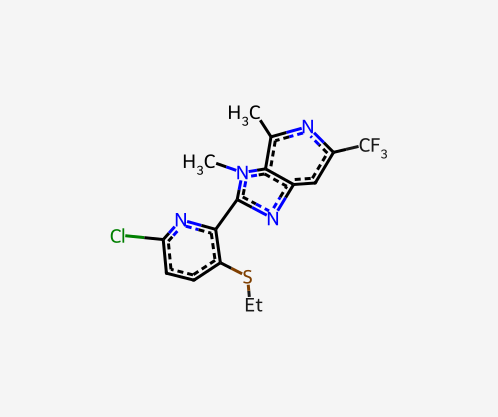 CCSc1ccc(Cl)nc1-c1nc2cc(C(F)(F)F)nc(C)c2n1C